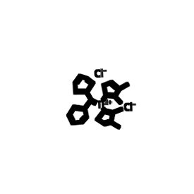 CC1=CC[C]([Ti+2]([C]2=C(C)C(C)=CC2)=[C](c2ccccc2)c2ccccc2)=C1C.[Cl-].[Cl-]